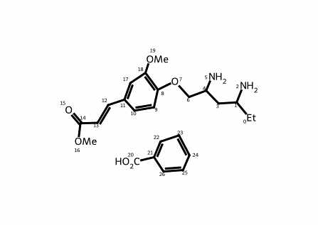 CCC(N)CC(N)COc1ccc(/C=C/C(=O)OC)cc1OC.O=C(O)c1ccccc1